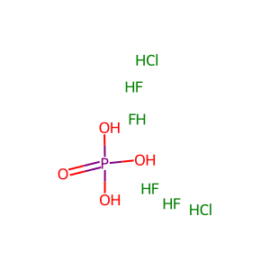 Cl.Cl.F.F.F.F.O=P(O)(O)O